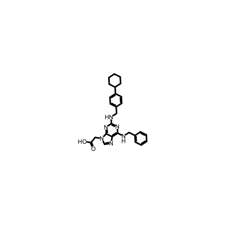 O=C(O)Cn1cnc2c(NCc3ccccc3)nc(NCc3ccc(C4CCCCC4)cc3)nc21